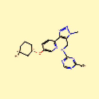 CCCCc1ncnc(NCc2c(-c3ccc(O[C@H]4CCC[C@H](C(C)=O)C4)cn3)nnn2C)n1